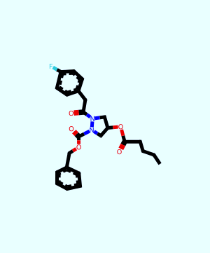 CCCCC(=O)OC1CN(C(=O)Cc2ccc(F)cc2)N(C(=O)OCc2ccccc2)C1